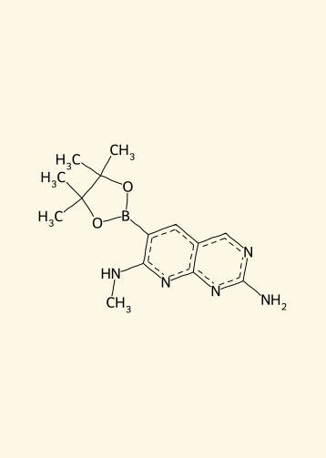 CNc1nc2nc(N)ncc2cc1B1OC(C)(C)C(C)(C)O1